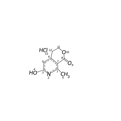 Cc1nc(O)cc2c1C(=O)OCC2.Cl